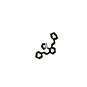 C(=Cc1cccc(C=Cc2ccccc2)c1-n1cccn1)c1ccccc1